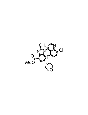 COC(=O)c1cc(N2CCOCC2)cc2c1nc(C)n2-c1ccnc2c(Cl)ccc(F)c12